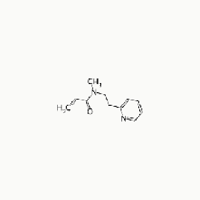 C=CC(=O)N(C)CCc1ccccn1